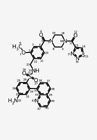 COc1cc(C(=O)N2CCN(C(=O)c3csnn3)CC2)ccc1CNS(=O)(=O)c1ccc(N)cc1-c1cccc2cccnc12